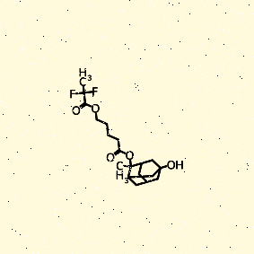 CC(F)(F)C(=O)OCCCCC(=O)OC1(C)C2CC3CC1CC(O)(C3)C2